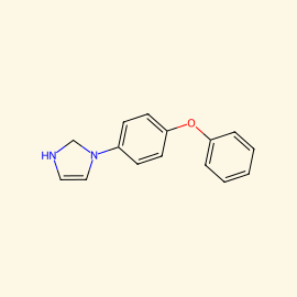 C1=CN(c2ccc(Oc3ccccc3)cc2)CN1